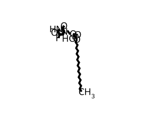 CCCCCCCCCCCCCCCCCCOP(=O)(O)OCCn1cc(F)c(=O)[nH]c1=O